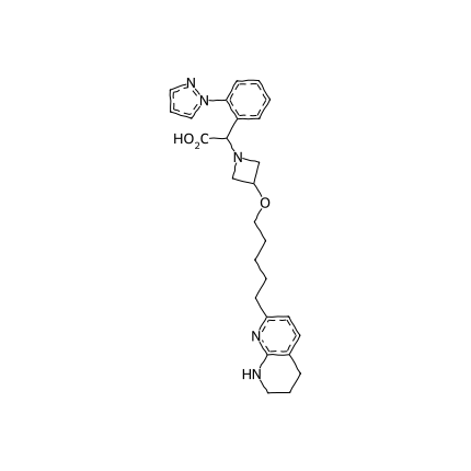 O=C(O)C(c1ccccc1-n1cccn1)N1CC(OCCCCCc2ccc3c(n2)NCCC3)C1